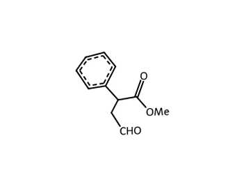 COC(=O)C(CC=O)c1ccccc1